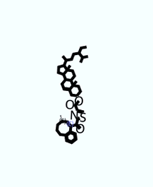 CCC(CCC(C)C1CCC2C3CC=C4CC(OC(=O)c5csc(C(=O)/C6=C/[C@@H](C)CCCc7ccccc76)n5)CCC4(C)C3CCC12C)C(C)C